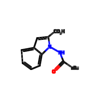 CCCCC(=O)Nn1c(C(=O)O)cc2ccccc21